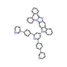 c1cncc(-c2ccc(-c3cc(-n4c5ccccc5c5cc6nc7c8ccccc8c8ccccc8n7c6cc54)cc(-c4ccc(-c5cccnc5)cc4)n3)cc2)c1